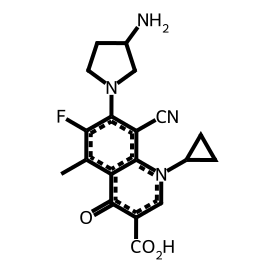 Cc1c(F)c(N2CCC(N)C2)c(C#N)c2c1c(=O)c(C(=O)O)cn2C1CC1